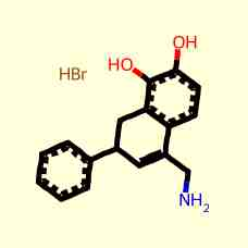 Br.NCC1=CC(c2ccccc2)Cc2c1ccc(O)c2O